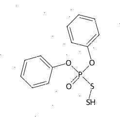 O=P(Oc1ccccc1)(Oc1ccccc1)SS